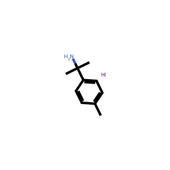 Cc1ccc(C(C)(C)N)cc1.I